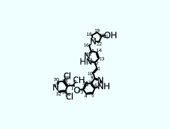 CC(Oc1ccc2[nH]nc(/C=C/C3C=CC(CN4CCC(O)C4)=NN3)c2c1)c1c(Cl)cncc1Cl